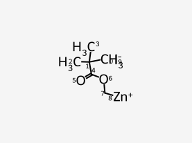 CC(C)(C)C(=O)O[CH2][Zn+].[I-]